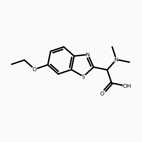 CCOc1ccc2nc(C(C(=O)O)N(C)C)sc2c1